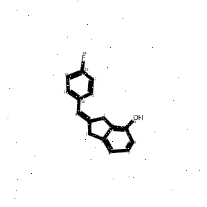 Oc1cccc2c1CC(=Cc1ccc(F)cc1)C2